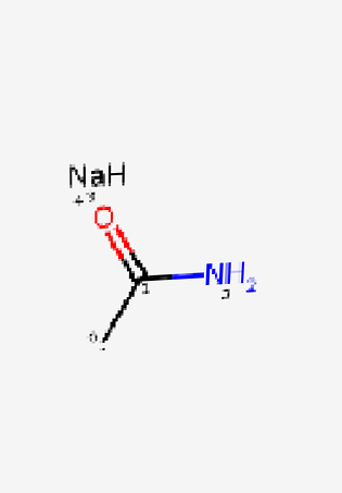 [CH2]C(N)=O.[NaH]